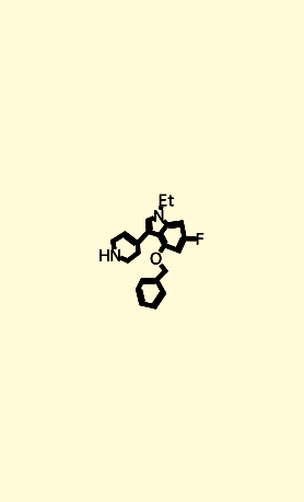 CCn1cc(C2=CCNCC2)c2c(OCc3ccccc3)cc(F)cc21